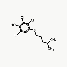 CC(C)CCCSc1cc(Cl)c(O)c(Cl)c1Cl